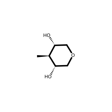 C[C@H]1[C@H](O)COC[C@@H]1O